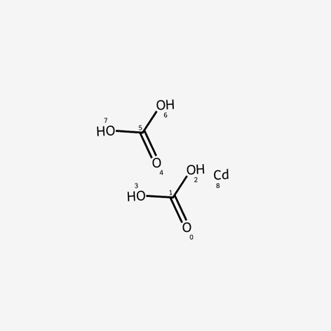 O=C(O)O.O=C(O)O.[Cd]